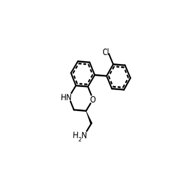 NC[C@H]1CNc2cccc(-c3ccccc3Cl)c2O1